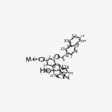 COc1cc(OCc2ccc3ccccc3c2)cc(C(O)(CC#N)c2nccs2)c1